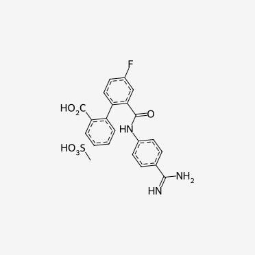 CS(=O)(=O)O.N=C(N)c1ccc(NC(=O)c2cc(F)ccc2-c2ccccc2C(=O)O)cc1